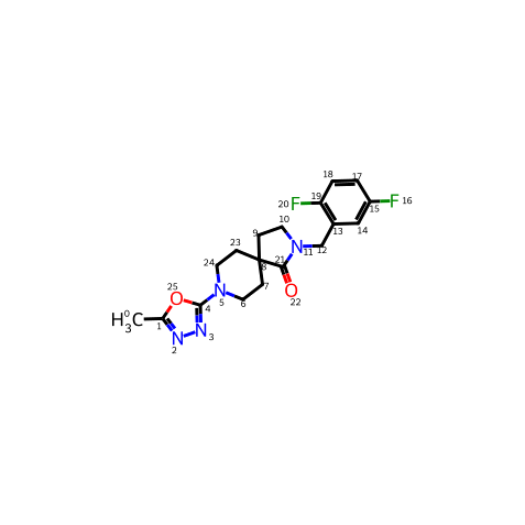 Cc1nnc(N2CCC3(CCN(Cc4cc(F)ccc4F)C3=O)CC2)o1